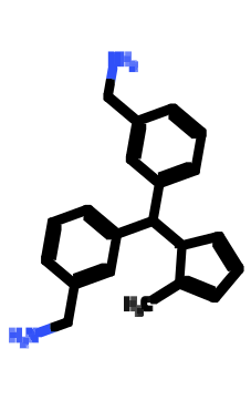 CC1=CC=C[C]1C(c1cccc(CN)c1)c1cccc(CN)c1